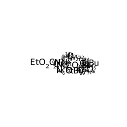 CCOC(=O)c1cc2nc(C)c(C(OC(C)(C)C)C(=O)OCC)c(N3CCC(C)(OCCCCC(C)O[Si](c4ccccc4)(c4ccccc4)C(C)(C)C)CC3)n2n1